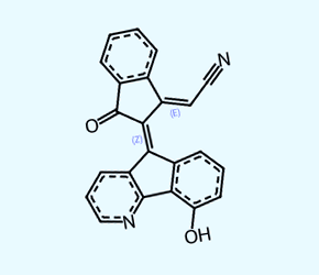 N#C/C=C1/C(=C2/c3cccnc3-c3c(O)cccc32)C(=O)c2ccccc21